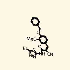 CCc1nnc(NC(=O)C(C#N)=Cc2ccc(OCc3ccccc3)c(OC)c2)s1